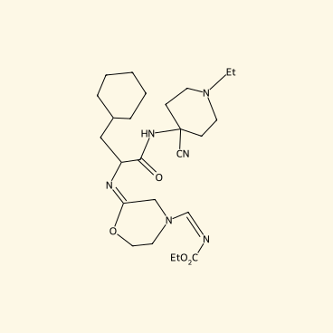 CCOC(=O)/N=C\N1CCO/C(=N/C(CC2CCCCC2)C(=O)NC2(C#N)CCN(CC)CC2)C1